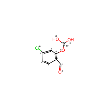 O=Cc1ccc(Cl)cc1OB(O)O